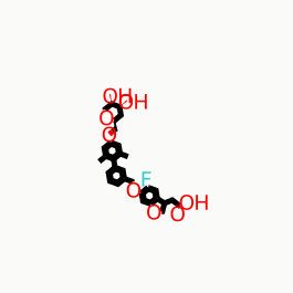 Cc1cc(OC[C@@H]2C[C@@H](O)[C@@H](O)CO2)cc(C)c1-c1cccc(COc2cc3c(cc2F)C(CC(=O)O)CO3)c1